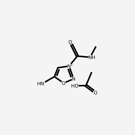 CC(=O)O.CNC(=O)[n+]1cc([NH-])on1